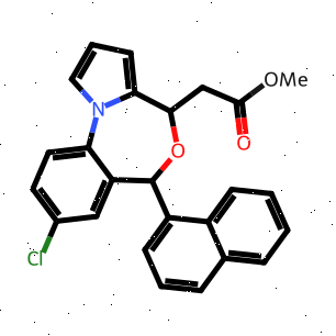 COC(=O)CC1OC(c2cccc3ccccc23)c2cc(Cl)ccc2-n2cccc21